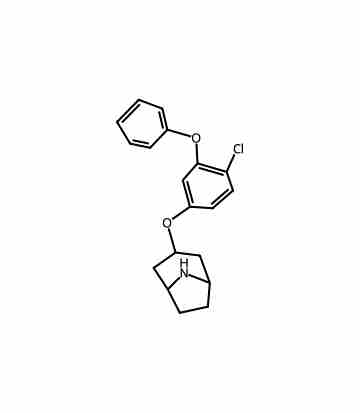 Clc1ccc(OC2CC3CCC(C2)N3)cc1Oc1ccccc1